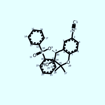 [C-]#[N+]c1ccc2c(c1)[C@@H](OP(=O)(c1ccccc1)c1ccccc1)[C@H](O)C(C)(C)O2